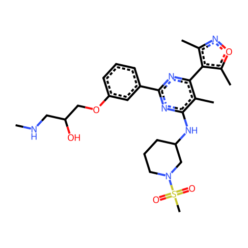 CNCC(O)COc1cccc(-c2nc(NC3CCCN(S(C)(=O)=O)C3)c(C)c(-c3c(C)noc3C)n2)c1